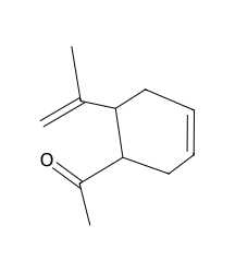 C=C(C)C1CC=CCC1C(C)=O